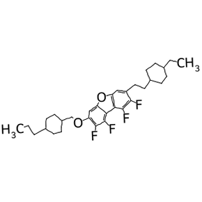 CCCC1CCC(COc2cc3oc4cc(CCC5CCC(CC)CC5)c(F)c(F)c4c3c(F)c2F)CC1